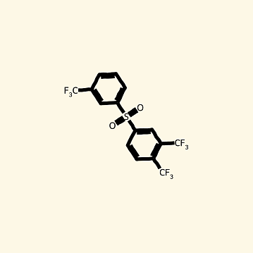 O=S(=O)(c1cccc(C(F)(F)F)c1)c1ccc(C(F)(F)F)c(C(F)(F)F)c1